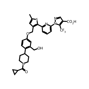 Cc1cc(COc2ccc(C3CCN(C(=O)C4CC4)CC3)c(CO)c2)c(-c2cccc(-n3ncc(C(=O)O)c3C(F)(F)F)n2)s1